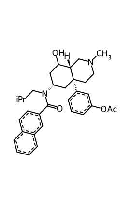 CC(=O)Oc1cccc([C@@]23CCN(C)C[C@H]2C(O)C[C@@H](N(CC(C)C)C(=O)c2ccc4ccccc4c2)C3)c1